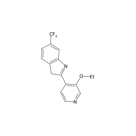 CCOc1cnccc1C1=Nc2cc(C(F)(F)F)ccc2C1